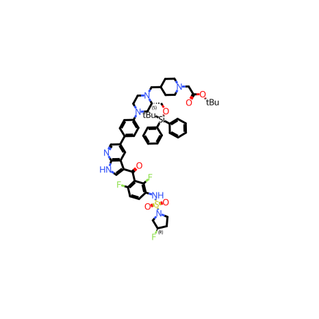 CC(C)(C)OC(=O)CN1CCC(CN2CCN(c3ccc(-c4cnc5[nH]cc(C(=O)c6c(F)ccc(NS(=O)(=O)N7CC[C@@H](F)C7)c6F)c5c4)cc3)C[C@H]2CO[Si](c2ccccc2)(c2ccccc2)C(C)(C)C)CC1